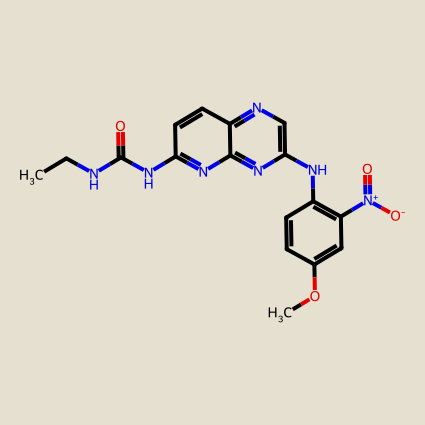 CCNC(=O)Nc1ccc2ncc(Nc3ccc(OC)cc3[N+](=O)[O-])nc2n1